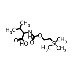 CC(C)C(NC(=O)OCC[Si](C)(C)C)C(=O)O